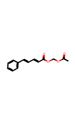 CC(=O)OCOC(=O)C=CC=Cc1ccccc1